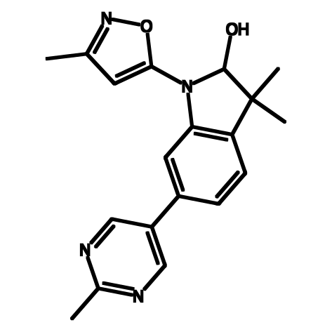 Cc1cc(N2c3cc(-c4cnc(C)nc4)ccc3C(C)(C)C2O)on1